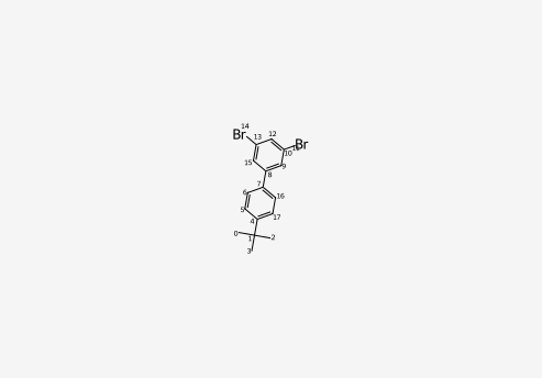 CC(C)(C)c1ccc(-c2cc(Br)cc(Br)c2)cc1